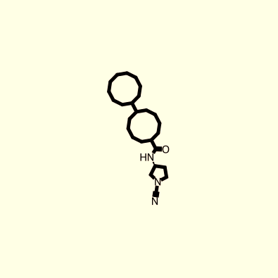 N#CN1CC[C@@H](NC(=O)C2CCCCC(C3CCCCCCCCC3)CCCC2)C1